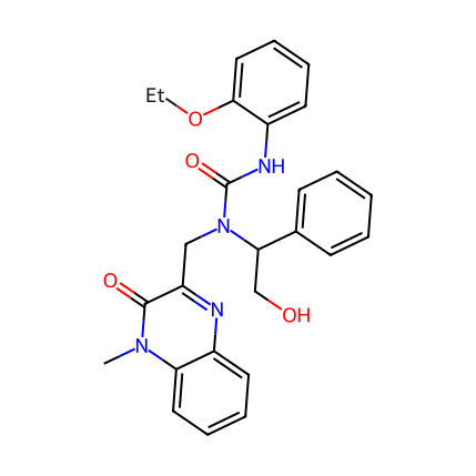 CCOc1ccccc1NC(=O)N(Cc1nc2ccccc2n(C)c1=O)C(CO)c1ccccc1